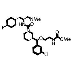 CNC[C@H](C[C@H]1CC[C@H](F)CC1)NC(=O)N1CCC[C@@H]([C@@H](OCCNC(=O)OC)c2cccc(Cl)c2)C1